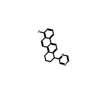 Fc1cccc2c1ccc1c3c(ccc12)C(c1cnccn1)CCC3